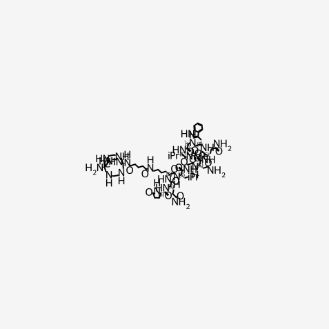 CNC(=O)[C@@H](NC(=O)[C@H](C)NC(=O)[C@H](Cc1c[nH]c2ccccc12)NC(=O)[C@H](CCC(N)=O)NC(=O)[C@H](CC(N)=O)NC(=O)CNC(=O)[C@H](CC(C)C)NC(=O)[C@H](CCCCNC(=O)CCCC(=O)N[C@]12CNCCNC[C@](N)(CNCCNC1)CNCCN2)NC(=O)[C@H](CCC(N)=O)NC(=O)[C@@H]1CCC(=O)N1)C(C)C